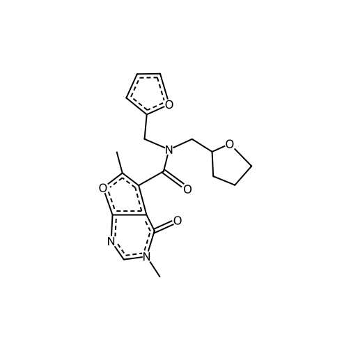 Cc1oc2ncn(C)c(=O)c2c1C(=O)N(Cc1ccco1)CC1CCCO1